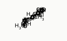 CC(C)(c1ccc(OCc2ccnc(NS(C)(=O)=O)n2)cc1)c1cc(Cl)c(N2CCOCC2)c(C#N)c1